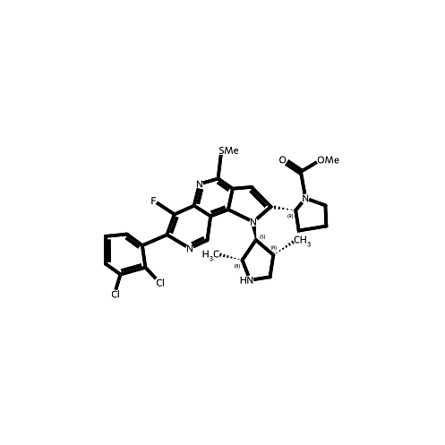 COC(=O)N1CCC[C@@H]1c1cc2c(SC)nc3c(F)c(-c4cccc(Cl)c4Cl)ncc3c2n1[C@H]1[C@H](C)CN[C@@H]1C